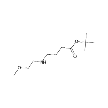 COCCNCCCC(=O)OC(C)(C)C